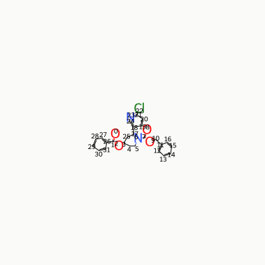 O=C(OC1CCN(C(=O)OCc2ccccc2)C(c2ccc(Cl)nc2)C1)c1ccccc1